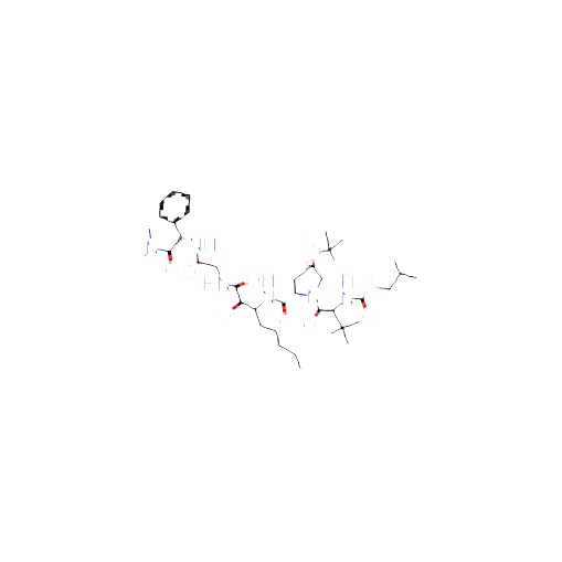 CCCCCC(NC(=O)[C@@H]1C[C@@H](OC(C)(C)C)CN1C(=O)C(NC(=O)OCC(C)C)C(C)(C)C)C(=O)C(=O)NCC(=O)N[C@H](C(=O)N(C)C)c1ccccc1